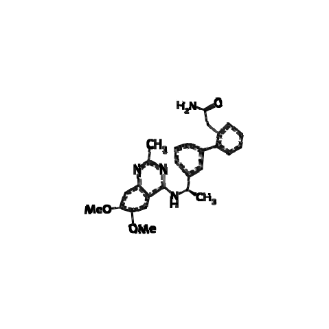 COc1cc2nc(C)nc(N[C@H](C)c3cccc(-c4ccccc4CC(N)=O)c3)c2cc1OC